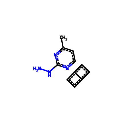 Cc1ccnc(NN)n1.c1cc2ccc1-2